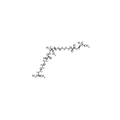 CC(C)C#CCNC(=O)OCCCCOCSSC(C)(C)CCOC(=O)NCCOCCOCCC(C)C